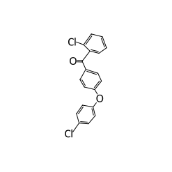 O=C(c1ccc(Oc2ccc(Cl)cc2)cc1)c1ccccc1Cl